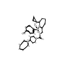 O=C(OCC1CCCC(C2CC2)N1S(=O)(=O)c1ccc(Cl)cc1)N1CCC(N2CCCCC2)CC1